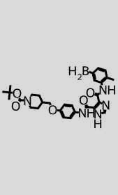 Bc1ccc(C)c(NC(=O)c2nc[nH]c2C(=O)Nc2ccc(OCC3CCN(C(=O)OC(C)(C)C)CC3)cc2)c1